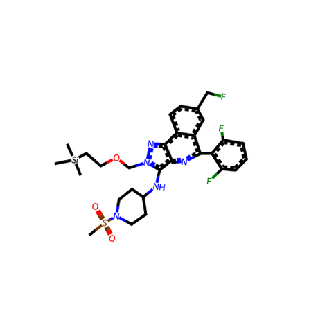 C[Si](C)(C)CCOCn1nc2c(nc(-c3c(F)cccc3F)c3cc(CF)ccc32)c1NC1CCN(S(C)(=O)=O)CC1